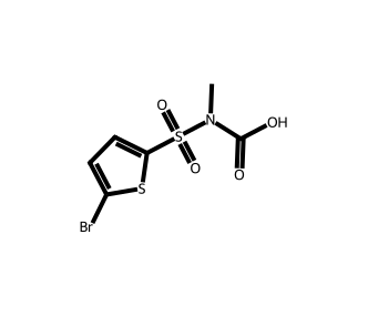 CN(C(=O)O)S(=O)(=O)c1ccc(Br)s1